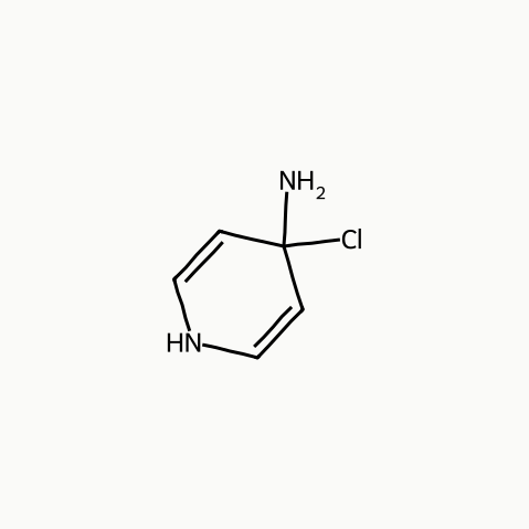 NC1(Cl)C=CNC=C1